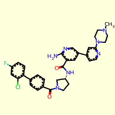 CN1CCN(c2cc(-c3cnc(N)c(C(=O)N[C@@H]4CCN(C(=O)c5ccc(-c6ccc(F)cc6Cl)cc5)C4)c3)ccn2)CC1